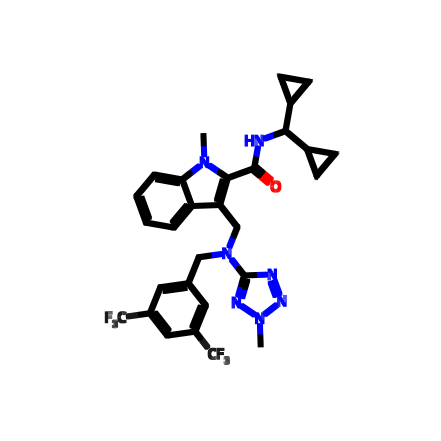 Cn1nnc(N(Cc2cc(C(F)(F)F)cc(C(F)(F)F)c2)Cc2c(C(=O)NC(C3CC3)C3CC3)n(C)c3ccccc23)n1